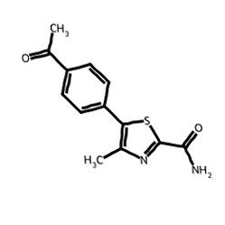 CC(=O)c1ccc(-c2sc(C(N)=O)nc2C)cc1